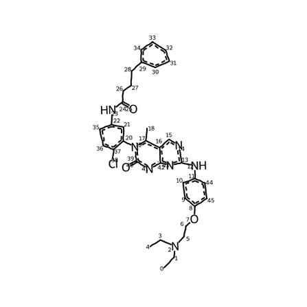 CCN(CC)CCOc1ccc(Nc2ncc3c(C)n(-c4cc(NC(=O)CCCc5ccccc5)ccc4Cl)c(=O)nc3n2)cc1